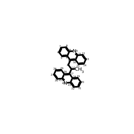 CC(Cc1c2ccccc2nc2ccccc12)c1c2ccccc2nc2ccccc12